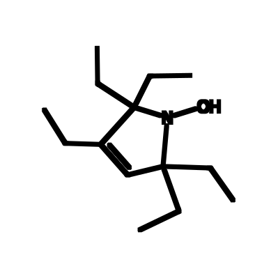 CCC1=CC(CC)(CC)N(O)C1(CC)CC